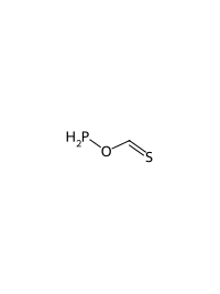 POC=S